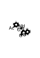 CC(=O)c1cccc(NC(=O)Oc2cc(=O)oc3ccccc23)c1